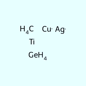 C.[Ag].[Cu].[GeH4].[Ti]